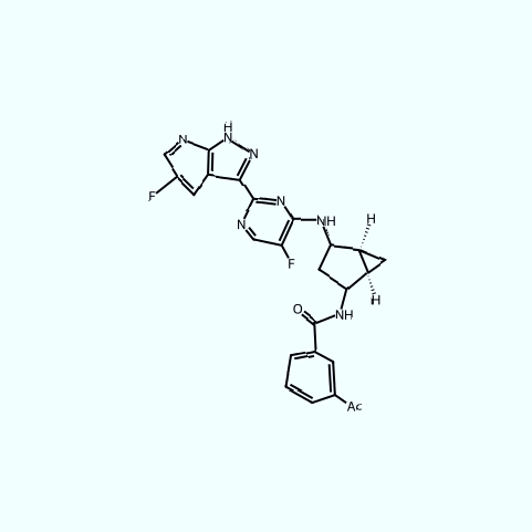 CC(=O)c1cccc(C(=O)NC2CC(Nc3nc(-c4n[nH]c5ncc(F)cc45)ncc3F)[C@H]3C[C@@H]23)c1